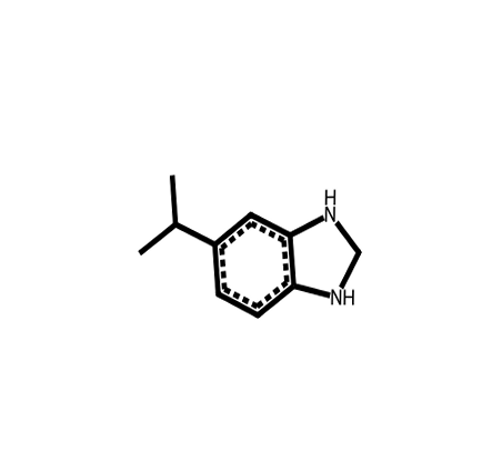 CC(C)c1ccc2c(c1)NCN2